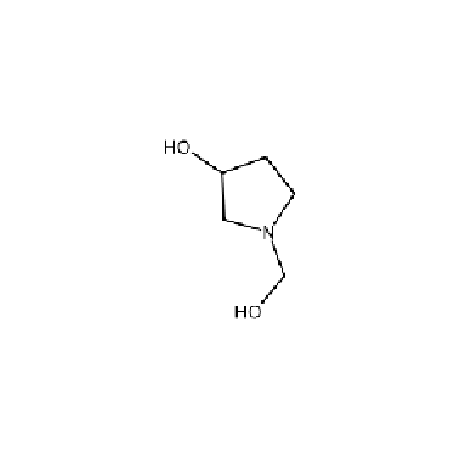 OCN1CCC(O)C1